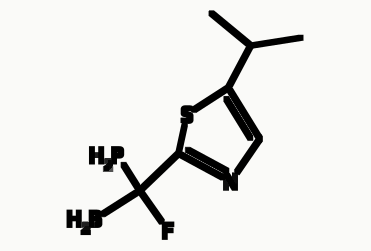 BC(F)(P)c1ncc(C(C)C)s1